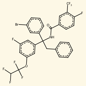 O=C(NC(Cc1ccccc1)(c1cccc(Br)c1)c1cc(F)cc(OC(F)(F)C(F)F)c1)c1ccc(F)c(C(F)(F)F)c1